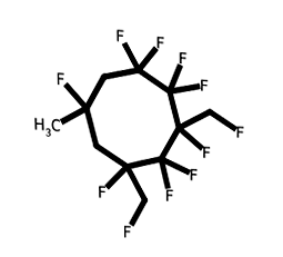 CC1(F)CC(F)(F)C(F)(F)C(F)(CF)C(F)(F)C(F)(CF)C1